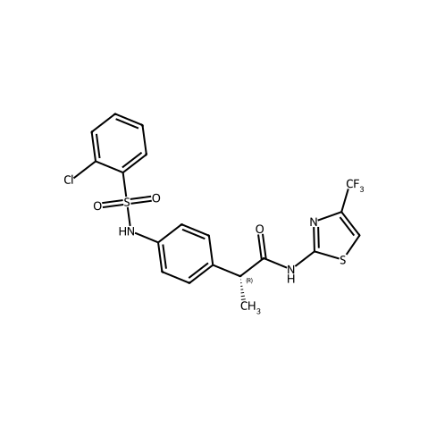 C[C@@H](C(=O)Nc1nc(C(F)(F)F)cs1)c1ccc(NS(=O)(=O)c2ccccc2Cl)cc1